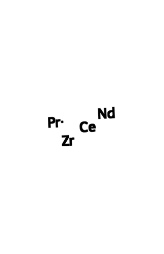 [Ce].[Nd].[Pr].[Zr]